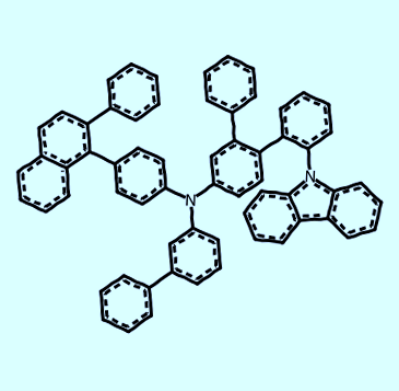 c1ccc(-c2cccc(N(c3ccc(-c4c(-c5ccccc5)ccc5ccccc45)cc3)c3ccc(-c4ccccc4-n4c5ccccc5c5ccccc54)c(-c4ccccc4)c3)c2)cc1